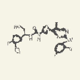 Cc1cnc(Nc2ccc(F)cc2Cl)nc1-n1cc(NC(=O)N[C@H](CO)c2ccc(F)c(Cl)c2)cn1